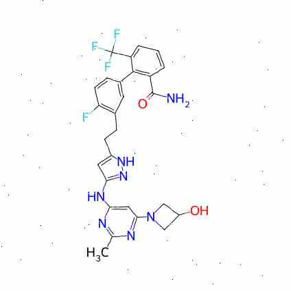 Cc1nc(Nc2cc(CCc3cc(-c4c(C(N)=O)cccc4C(F)(F)F)ccc3F)[nH]n2)cc(N2CC(O)C2)n1